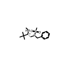 CN[C@H](CN(Cc1ccccc1)S(C)(=O)=O)C(C)(C)C